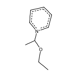 CCOC(C)[n+]1ccccc1